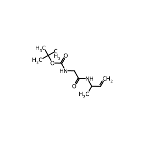 C=CC(C)NC(=O)CNC(=O)OC(C)(C)C